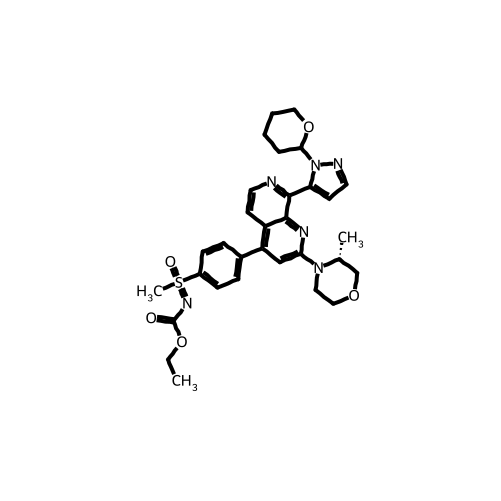 CCOC(=O)N=S(C)(=O)c1ccc(-c2cc(N3CCOC[C@H]3C)nc3c(-c4ccnn4C4CCCCO4)nccc23)cc1